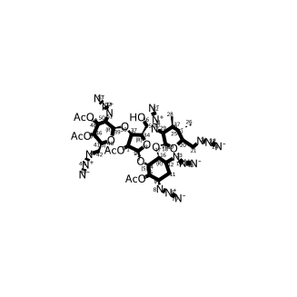 CC(=O)OC1[C@H](O[C@@H]2C(OC(C)=O)[C@H](N=[N+]=[N-])CC(N=[N+]=[N-])[C@H]2O[C@H]2OC(CN=[N+]=[N-])[C@@H](C)[C@H](C)C2N=[N+]=[N-])O[C@H](CO)[C@@H]1O[C@H]1O[C@@H](CN=[N+]=[N-])[C@@H](OC(C)=O)C(OC(C)=O)C1N=[N+]=[N-]